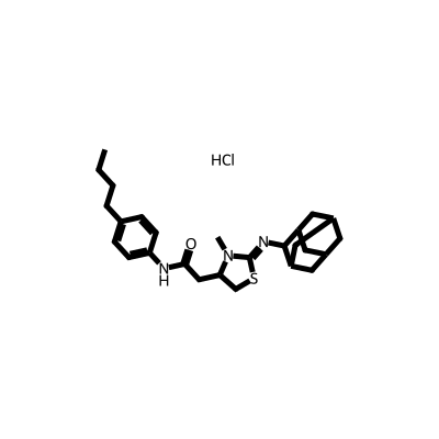 CCCCc1ccc(NC(=O)CC2CS/C(=N\C3C4CC5CC(C4)CC3C5)N2C)cc1.Cl